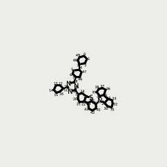 c1ccc(-c2ccc(-c3nc(-c4ccccc4)nc(-c4ccc5c(c4)sc4c(-n6c7ccccc7c7ccccc76)cccc45)n3)cc2)cc1